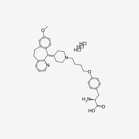 COc1ccc2c(c1)CCc1cccnc1C2=C1CCN(CCCCOc2ccc(C[C@H](N)C(=O)O)cc2)CC1.Cl.Cl.Cl